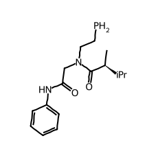 CC(C)[C@H](C)C(=O)N(CCP)CC(=O)Nc1ccccc1